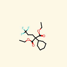 CCOC(=O)C(CCC(F)(F)F)(C(=O)OCC)C1CCCCC1